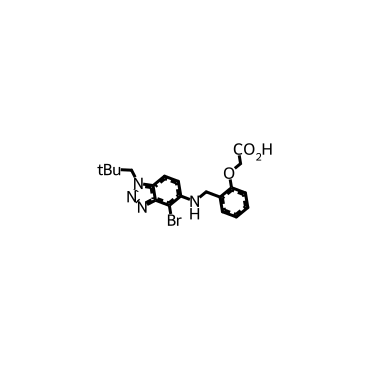 CC(C)(C)Cn1nnc2c(Br)c(NCc3ccccc3OCC(=O)O)ccc21